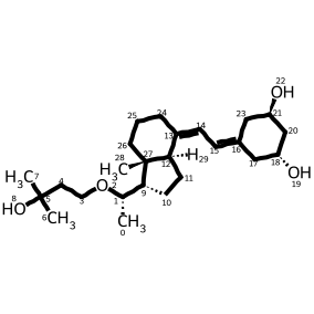 C[C@H](OCCC(C)(C)O)[C@H]1CC[C@@H]2/C(=C\C=C3C[C@@H](O)C[C@H](O)C3)CCC[C@]21C